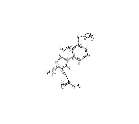 CCc1cccc(-c2ccc(C)c(C(N)=O)c2)c1N